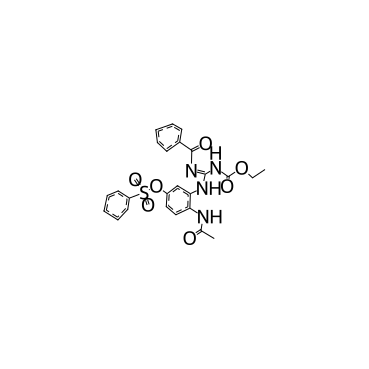 CCOC(=O)N/C(=N\C(=O)c1ccccc1)Nc1cc(OS(=O)(=O)c2ccccc2)ccc1NC(C)=O